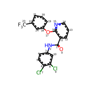 O=C(Nc1ccc(Cl)c(Cl)c1)c1cccnc1Oc1cccc(C(F)(F)F)c1